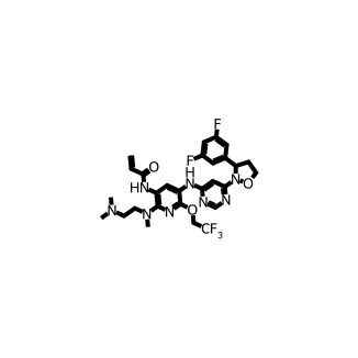 C=CC(=O)Nc1cc(Nc2cc(N3OCCC3c3cc(F)cc(F)c3)ncn2)c(OCC(F)(F)F)nc1N(C)CCN(C)C